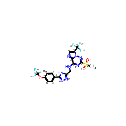 CS(=O)(=O)c1nc(NCc2nnc(-c3ccc(OC(F)(F)F)cc3)[nH]2)c2ncc(C(F)(F)F)n2n1